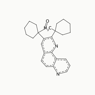 CC1(c2nc3c(ccc4ncccc43)cc2C2(C=O)CCCCC2)CCCCC1